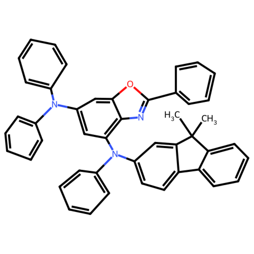 CC1(C)c2ccccc2-c2ccc(N(c3ccccc3)c3cc(N(c4ccccc4)c4ccccc4)cc4oc(-c5ccccc5)nc34)cc21